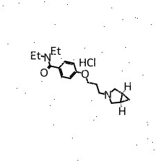 CCN(CC)C(=O)c1ccc(OCCCN2C[C@H]3C[C@H]3C2)cc1.Cl